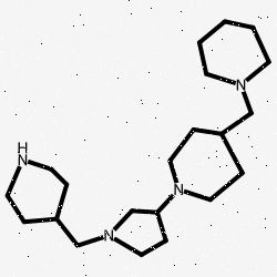 C1CCN(CC2CCN(C3CCN(CC4CCNCC4)C3)CC2)CC1